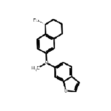 CC[C@@H]1CCCc2cc(N(C)c3ccc4ccoc4c3)ccc21